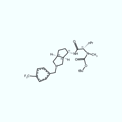 CCC[C@@H](C(=O)N[C@H]1CC[C@@H]2CN(Cc3ccc(C(F)(F)F)cc3)C[C@@H]21)N(C)C(=O)OC(C)(C)C